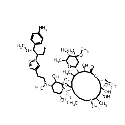 CC[C@H]1OC(=O)[C@H](C)C([C@H]2C[C@@](C)(OC)[C@@H](O)[C@H](C)O2)[C@H](C)[C@@H](O[C@@H]2O[C@H](C)C[C@H](N(C)CCc3cn([C@H](CF)[C@H](OC)c4ccc(N)cc4)nn3)[C@H]2O)[C@](C)(O)C[C@@H](C)CN(C)[C@H](C)[C@@H](O)[C@]1(C)O